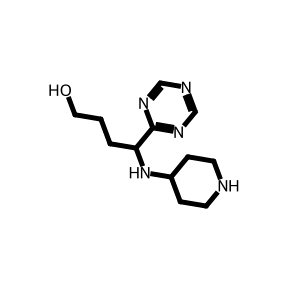 OCCCC(NC1CCNCC1)c1ncncn1